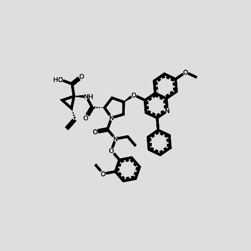 C=C[C@@H]1C[C@]1(NC(=O)[C@@H]1C[C@@H](Oc2cc(-c3ccccc3)nc3cc(OC)ccc23)CN1C(=O)N(CC)Oc1ccccc1OC)C(=O)O